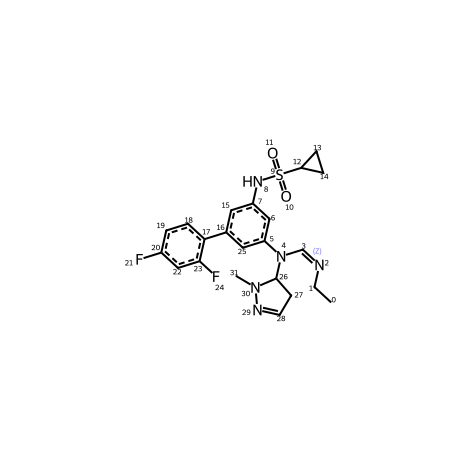 CC/N=C\N(c1cc(NS(=O)(=O)C2CC2)cc(-c2ccc(F)cc2F)c1)C1CC=NN1C